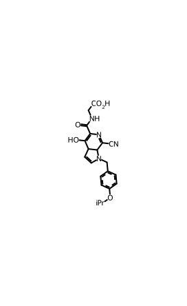 CC(C)Oc1ccc(CN2C=CC3C(O)=C(C(=O)NCC(=O)O)N=C(C#N)C32)cc1